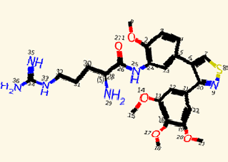 COc1ccc(-c2csnc2-c2cc(OC)c(OC)c(OC)c2)cc1NC(=O)[C@@H](N)CCCNC(=N)N